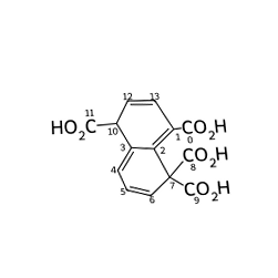 O=C(O)C1=C2C(=CC=CC2(C(=O)O)C(=O)O)C(C(=O)O)C=C1